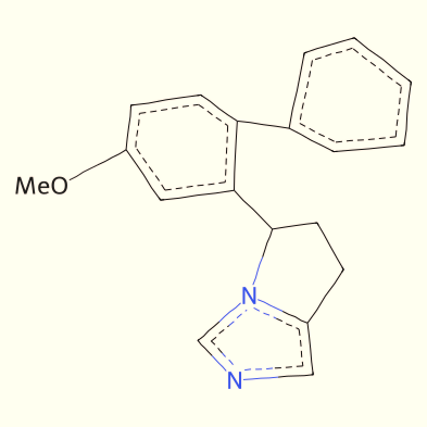 COc1ccc(-c2ccccc2)c(C2CCc3cncn32)c1